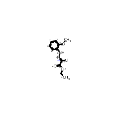 CCOC(=O)/C(Cl)=N/Nc1ccccc1OC